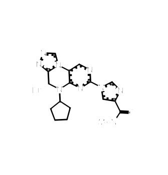 CC[C@@H]1c2nncn2-c2cnc(-n3cnc(C(=O)NC)c3)nc2N1C1CCCC1